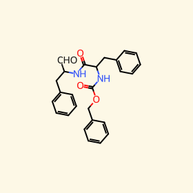 O=CC(Cc1ccccc1)NC(=O)C(Cc1ccccc1)NC(=O)OCc1ccccc1